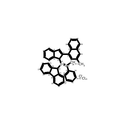 Cc1cc(C2=Cc3ccccc3[CH]2/[Zr+2]([CH]2c3ccccc3-c3ccccc32)=[Si](\C)c2ccccc2)c2ccccc2c1.[Cl-].[Cl-]